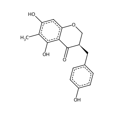 Cc1c(O)cc2c(c1O)C(=O)[C@H](Cc1ccc(O)cc1)CO2